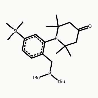 CC(C)(C)P(Cc1ccc([Si](C)(C)C)cc1P1C(C)(C)CC(=O)CC1(C)C)C(C)(C)C